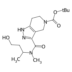 CC(CCO)N(C)C(=O)c1n[nH]c2c1CN(C(=O)OC(C)(C)C)CC2